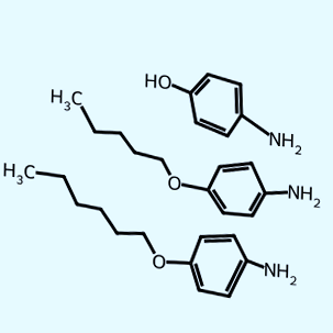 CCCCCCOc1ccc(N)cc1.CCCCCOc1ccc(N)cc1.Nc1ccc(O)cc1